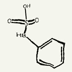 O=S(=O)(O)Bc1ccccc1